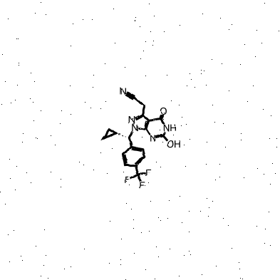 N#CCc1nn([C@H](c2ccc(C(F)(F)F)cc2)C2CC2)c2nc(O)[nH]c(=O)c12